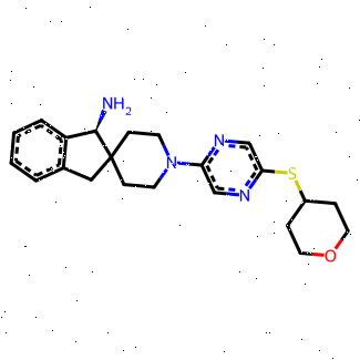 N[C@@H]1c2ccccc2CC12CCN(c1cnc(SC3CCOCC3)cn1)CC2